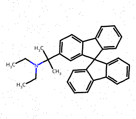 CCN(CC)C(C)(C)c1ccc2c(c1)C1(c3ccccc3-c3ccccc31)c1ccccc1-2